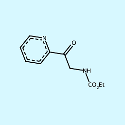 CCOC(=O)NCC(=O)c1ccccn1